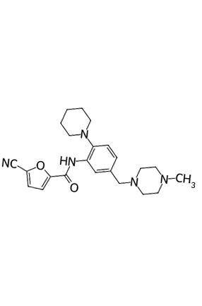 CN1CCN(Cc2ccc(N3CCCCC3)c(NC(=O)c3ccc(C#N)o3)c2)CC1